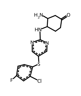 NC1CC(=O)CCC1Nc1ncc(Sc2ccc(F)cc2Cl)cn1